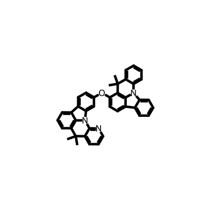 CC1(C)c2cccnc2-n2c3cc(Oc4ccc5c6ccccc6n6c5c4C(C)(C)c4ccccc4-6)ccc3c3cccc1c32